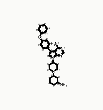 Nc1ncnc2c1c(-c1ccc(Oc3ccccc3)cc1)cn2C1CCN(C2CCCC(N)C2)CC1